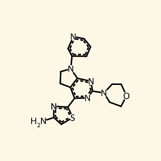 Nc1csc(-c2nc(N3CCOCC3)nc3c2CCN3c2cccnc2)n1